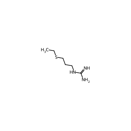 CCSCCCNC(=N)N